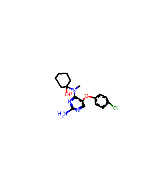 CN(c1nc(N)ncc1Oc1ccc(Cl)cc1)C1(O)CCCCC1